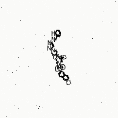 O=C1CN(S(=O)(=O)c2ccc3cc(Cl)ccc3c2)CCN1CC1(O)CCN(c2cc(NCc3ccccc3)ncn2)CC1